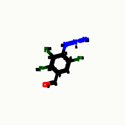 [N-]=[N+]=Nc1c(F)cc([C]=O)c(F)c1F